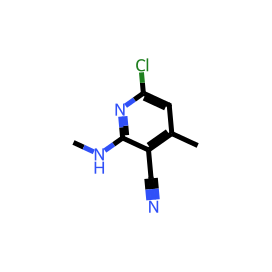 CNc1nc(Cl)cc(C)c1C#N